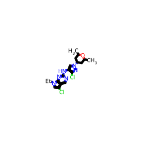 CCn1cc(Cl)c2cnc(Nc3cn(C4CC(C)OC(C)C4)nc3Cl)nc21